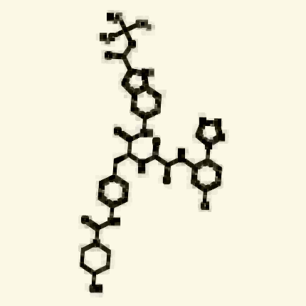 CC(C)(C)OC(=O)c1cc2cc(NC(=O)[C@H](Cc3ccc(NC(=O)N4CCC(O)CC4)cc3)NC(=O)C(=O)Nc3cc(Cl)ccc3-n3cnnn3)ccc2[nH]1